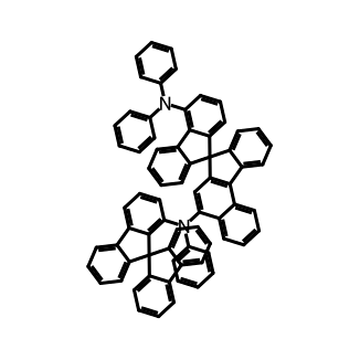 c1ccc(N(c2ccccc2)c2cccc3c2-c2ccccc2C32c3ccccc3-c3c2cc(N(c2ccccc2)c2cccc4c2C2(c5ccccc5-c5ccccc52)c2ccccc2-4)c2ccccc32)cc1